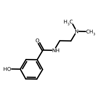 CN(C)CCNC(=O)c1cccc(O)c1